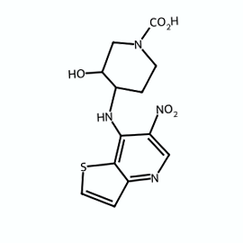 O=C(O)N1CCC(Nc2c([N+](=O)[O-])cnc3ccsc23)C(O)C1